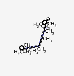 CC1=C(/C=C/C(C)=C/C=C/C(C)=C\C=C\C=C(C)\C=C\C=C(C)\C=C\C2=C(C)C(=O)CCC2(C)C)C(C)(C)CCC1